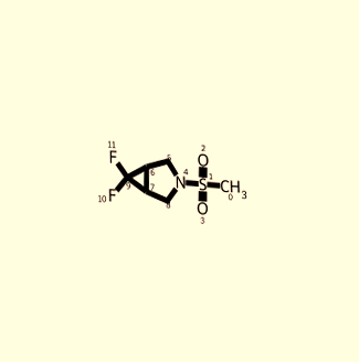 CS(=O)(=O)N1CC2C(C1)C2(F)F